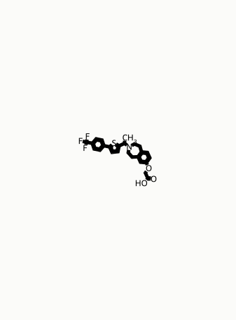 CC(c1ccc(-c2ccc(C(F)(F)F)cc2)s1)N1CCc2ccc(OCC(=O)O)cc2CC1